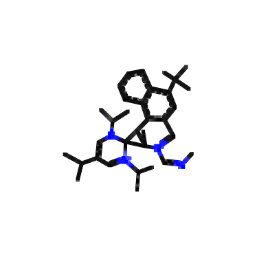 C/N=C\[N+]1=Cc2cc(C(C)(C)C)c3ccccc3c2C2C1(C)C21N(C(C)C)C=C(C(C)C)C=[N+]1C(C)C